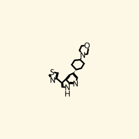 c1nc(-c2c[nH]c3ncc([C@H]4CC[C@H](N5CCOCC5)CC4)cc23)cs1